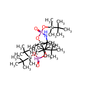 CC(C)(C)[Si](C)(C)OP(=O)(NC(C)(C)[Si](C)(O[PH](=O)O[Si](C)(C(C)(C)C)C(C)(C)C)C(C)(C)C)O[Si](C)(C)C(C)(C)C